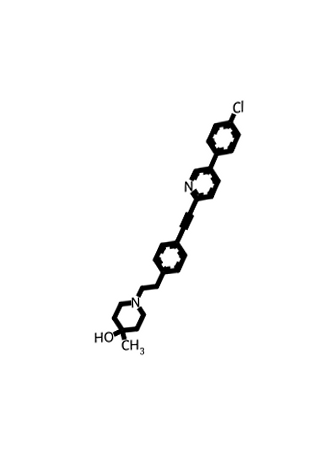 CC1(O)CCN(CCc2ccc(C#Cc3ccc(-c4ccc(Cl)cc4)cn3)cc2)CC1